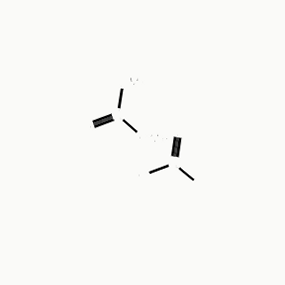 COS(=O)OC.O=S(O)O